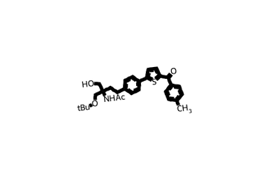 CC(=O)NC(CO)(CCc1ccc(-c2ccc(C(=O)c3ccc(C)cc3)s2)cc1)COC(C)(C)C